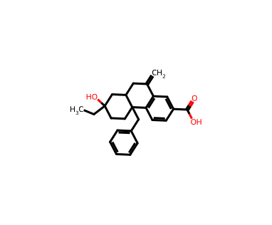 C=C1CC2CC(O)(CC)CCC2(Cc2ccccc2)c2ccc(C(=O)O)cc21